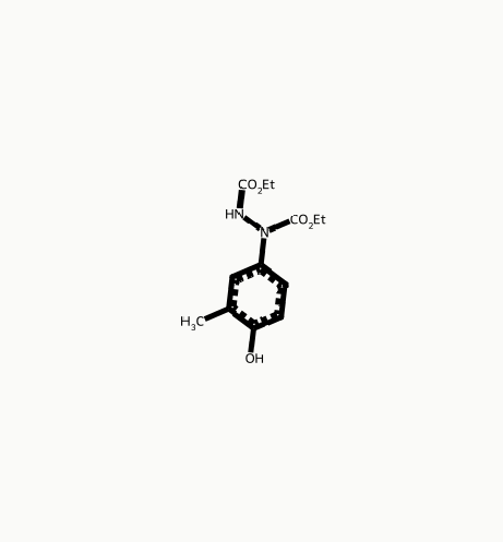 CCOC(=O)NN(C(=O)OCC)c1ccc(O)c(C)c1